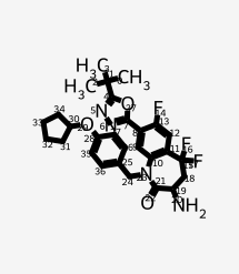 CC(C)(C)c1nnc(-c2cc3c(cc2F)C(F)(F)CC(N)C(=O)N3Cc2ccc(OC3CCCC3)cc2)o1